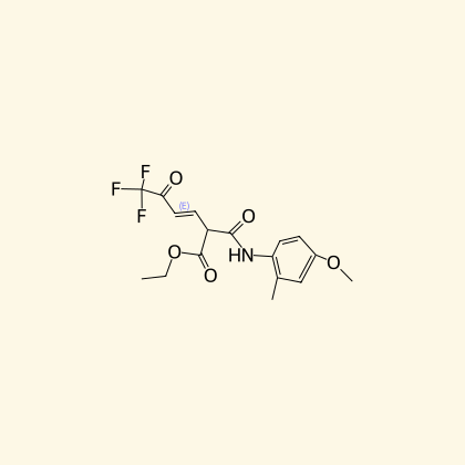 CCOC(=O)C(/C=C/C(=O)C(F)(F)F)C(=O)Nc1ccc(OC)cc1C